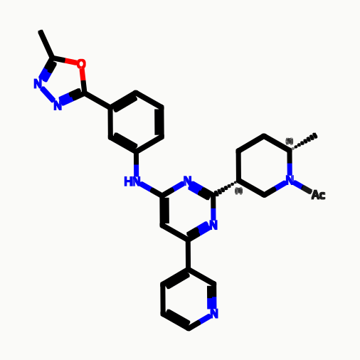 CC(=O)N1C[C@H](c2nc(Nc3cccc(-c4nnc(C)o4)c3)cc(-c3cccnc3)n2)CC[C@@H]1C